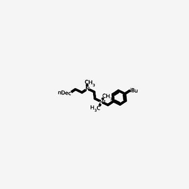 CCCCCCCCCCCCN(C)CC[N+](C)(C)Cc1ccc(C(C)CC)cc1